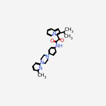 Cc1cccc(N2CCN(c3ccc(NC(=O)C(=O)c4c(C(C)C)cc5ccccn45)cc3)CC2)n1